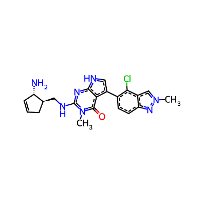 Cn1cc2c(Cl)c(-c3c[nH]c4nc(NC[C@H]5CC=C[C@@H]5N)n(C)c(=O)c34)ccc2n1